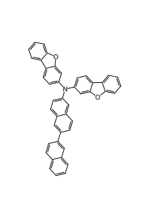 c1ccc2cc(-c3ccc4cc(N(c5ccc6c(c5)oc5ccccc56)c5ccc6c(c5)oc5ccccc56)ccc4c3)ccc2c1